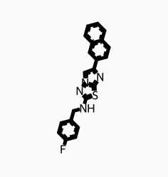 Fc1ccc(CNc2nn3cc(-c4ccc5ccccc5c4)nc3s2)cc1